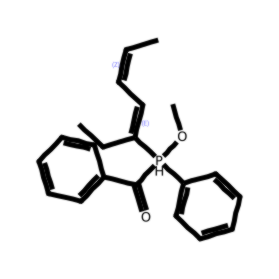 C/C=C\C=C(/CC)[PH](OC)(C(=O)c1ccccc1)c1ccccc1